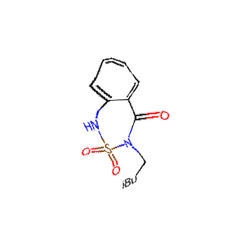 CCC(C)CN1C(=O)c2ccccc2NS1(=O)=O